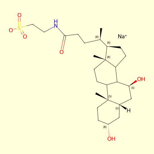 C[C@H](CCC(=O)NCCS(=O)(=O)[O-])[C@H]1CCC2C3C(CC[C@@]21C)[C@@]1(C)CC[C@@H](O)C[C@H]1C[C@@H]3O.[Na+]